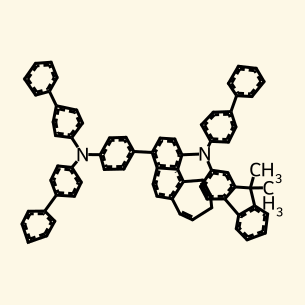 CC1(C)c2ccccc2-c2ccc(N(c3ccc(-c4ccccc4)cc3)c3ccc(-c4ccc(N(c5ccc(-c6ccccc6)cc5)c5ccc(-c6ccccc6)cc5)cc4)c4ccc5c(c34)C=CCC=C5)cc21